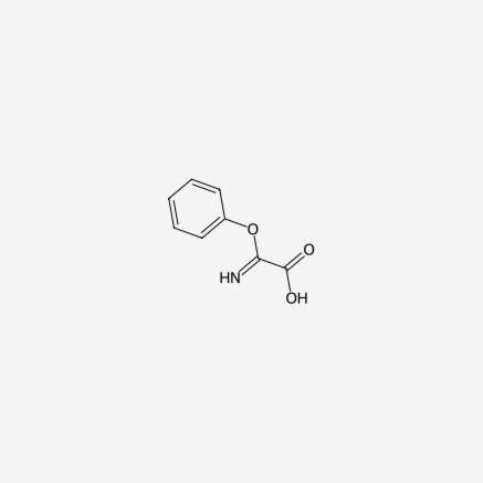 N=C(Oc1ccccc1)C(=O)O